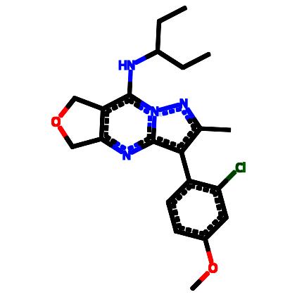 CCC(CC)Nc1c2c(nc3c(-c4ccc(OC)cc4Cl)c(C)nn13)COC2